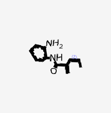 C=C(/C=C\C)C(=O)Nc1ccccc1N